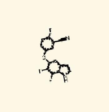 N#Cc1cc(Oc2cc3cc[nH]c3c(F)c2F)ccc1F